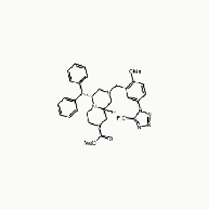 COC(=O)N1CCN2[C@H](CN(Cc3cc(-n4nnnc4C(F)(F)F)ccc3OC)C[C@H]2C(c2ccccc2)c2ccccc2)C1